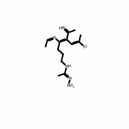 C\C=N/C(CCCN/C(C)=N/N)=C(/C=C(\C)CC)C(C)=N